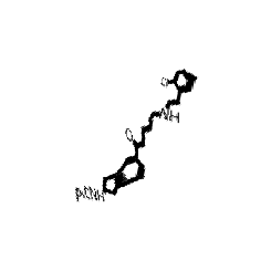 CC(=O)NC1Cc2ccc(C(=O)CCCCNCCc3ccccc3Cl)cc2C1